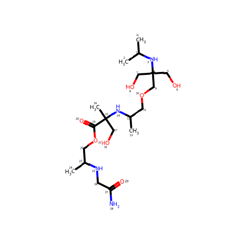 CC(C)NC(CO)(CO)COCC(C)NC(C)(CO)C(=O)OCC(C)NCC(N)=O